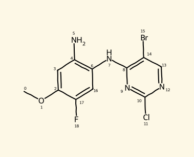 COc1cc(N)c(Nc2nc(Cl)ncc2Br)cc1F